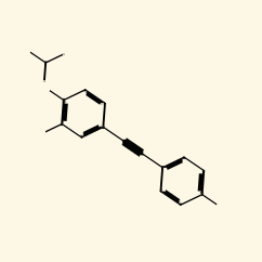 Cc1ccc(C#Cc2ccc(OC(F)F)c(C)c2)cc1